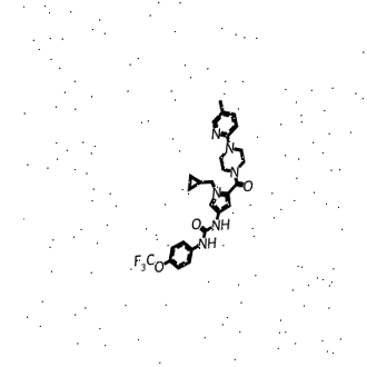 Cc1ccc(N2CCN(C(=O)c3cc(NC(=O)Nc4ccc(OC(F)(F)F)cc4)cn3CC3CC3)CC2)nc1